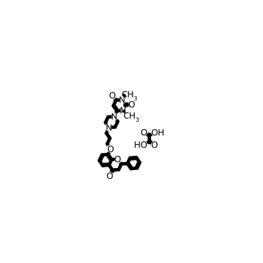 Cn1c(N2CCN(CCCOc3cccc4c3OC(c3ccccc3)CC4=O)CC2)cc(=O)n(C)c1=O.O=C(O)C(=O)O